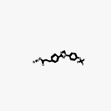 [N-]=[N+]=NC(=O)CCc1ccc(-c2ncn(-c3ccc(OC(F)(F)F)cc3)n2)cc1